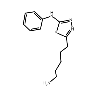 NCCCCCc1nnc(Nc2ccccc2)s1